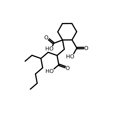 CCCCC(CC)CC(CC1(C(=O)O)CCCCC1C(=O)O)C(=O)O